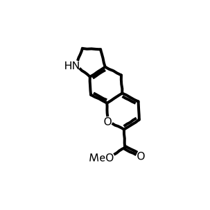 COC(=O)C1=CC=C2CC3=C(C=C2O1)NCC3